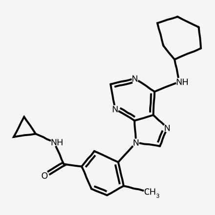 Cc1ccc(C(=O)NC2CC2)cc1-n1cnc2c(NC3CCCCC3)ncnc21